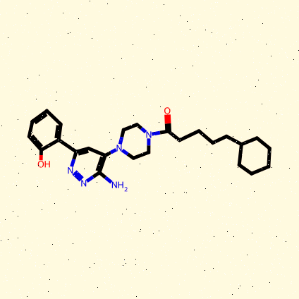 Nc1nnc(-c2ccccc2O)cc1N1CCN(C(=O)CCCCC2CCCCC2)CC1